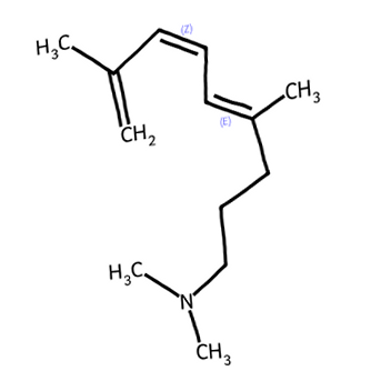 C=C(C)/C=C\C=C(/C)CCCN(C)C